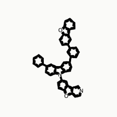 c1ccc(-c2ccc3c(c2)c2cc(-c4cccc(-c5ccc6oc7ccccc7c6c5)c4)ccc2n3-c2ccc3oc4ccncc4c3c2)cc1